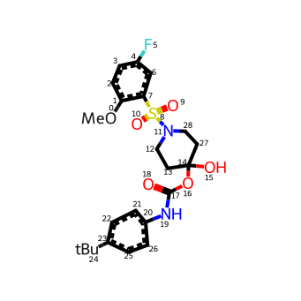 COc1ccc(F)cc1S(=O)(=O)N1CCC(O)(OC(=O)Nc2ccc(C(C)(C)C)cc2)CC1